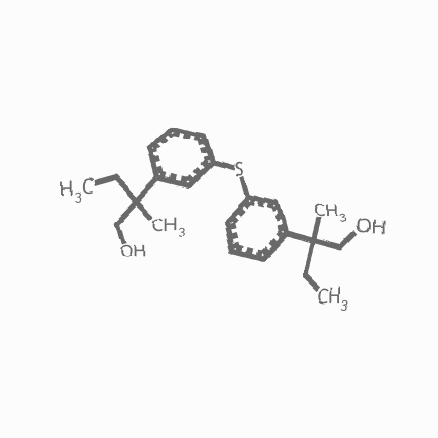 CCC(C)(CO)c1cccc(Sc2cccc(C(C)(CC)CO)c2)c1